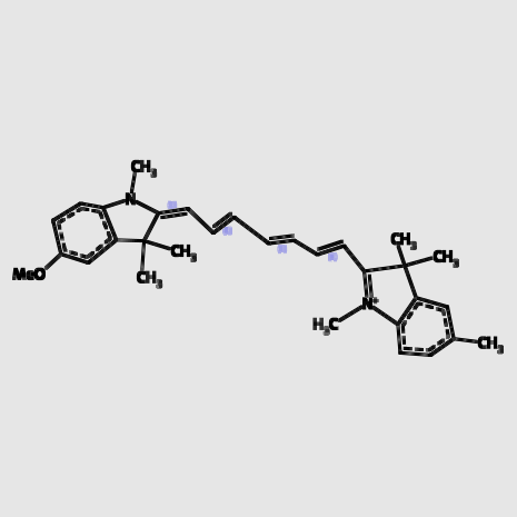 COc1ccc2c(c1)C(C)(C)\C(=C/C=C/C=C/C=C/C1=[N+](C)c3ccc(C)cc3C1(C)C)N2C